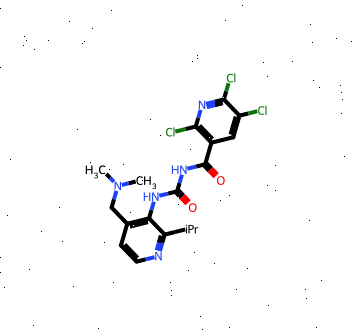 CC(C)c1nccc(CN(C)C)c1NC(=O)NC(=O)c1cc(Cl)c(Cl)nc1Cl